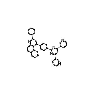 c1ccc(-c2cc(-c3ccc(-c4nc(-c5cccnc5)cc(-c5cccnc5)n4)cc3)c3c(ccc4ccccc43)n2)cc1